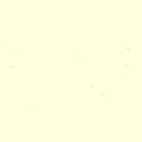 Cc1c(O[C@@H](C)CCC2CCN(CC(=O)O)CC2)cccc1-c1ccc(N2CCc3cccc(C(=O)Nc4nc5ccccc5s4)c3C2)nc1C(=O)OC(C)(C)C